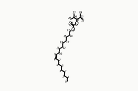 CCCCCCCC/C=C\CCCCCCCCOC(=O)OC(C(C)C)C(C)C